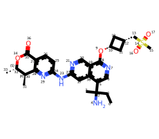 CCC(C)(N)c1cnc(O[C@H]2C[C@@H](CS(C)(=O)=O)C2)c2cnc(Nc3ccc4c(n3)[C@@H](C)[C@H](C)OC4=O)cc12